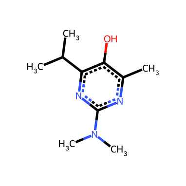 Cc1nc(N(C)C)nc(C(C)C)c1O